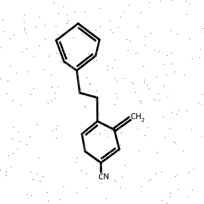 C=C1C=C(C#N)CC=C1CCc1ccccc1